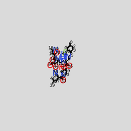 Cc1ccc(CNC[C@H](NC[C@H](NC(=O)c2cc(C)no2)[C@@H](O)C=O)C(=O)O[C@@H]2CCN(C(=O)C(C#N)=CC(C)C)C2)c(F)c1